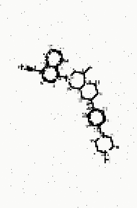 CC1CN(c2ccc(C#N)c3ncccc23)CC2CC(c3ccc(N4CCNCC4)cc3)CCN12